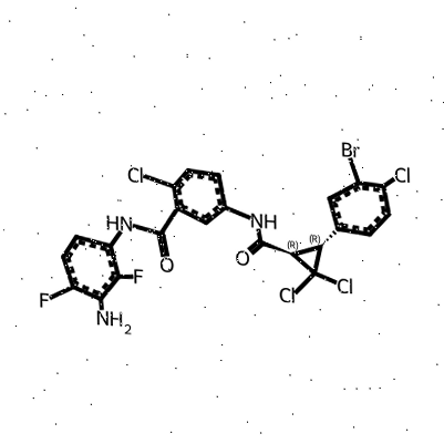 Nc1c(F)ccc(NC(=O)c2cc(NC(=O)[C@H]3[C@H](c4ccc(Cl)c(Br)c4)C3(Cl)Cl)ccc2Cl)c1F